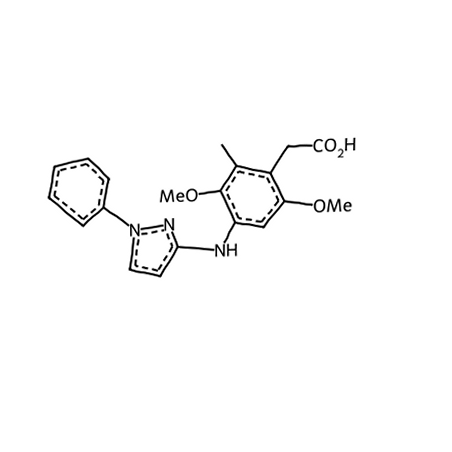 COc1cc(Nc2ccn(-c3ccccc3)n2)c(OC)c(C)c1CC(=O)O